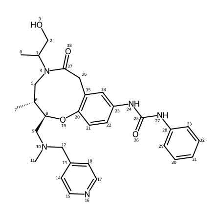 CC(CO)N1C[C@@H](C)[C@H](CN(C)Cc2ccncc2)Oc2ccc(NC(=O)Nc3ccccc3)cc2CC1=O